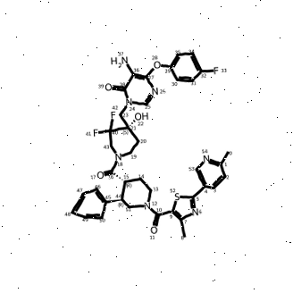 Cc1ccc(-c2nc(C)c(C(=O)N3CC[C@@H](C(=O)N4CC[C@](O)(Cn5cnc(Oc6ccc(F)cc6)c(N)c5=O)C(F)(F)C4)[C@H](c4ccccc4)C3)s2)cn1